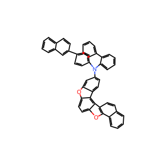 c1ccc(-c2ccccc2N(c2ccc(-c3ccc4ccccc4c3)cc2)c2ccc3c(c2)oc2ccc4oc5c6ccccc6ccc5c4c23)cc1